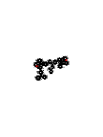 CC1(C)c2ccccc2-c2ccc(N(c3ccc(-c4ccc5c(c4)C4(c6ccccc6-5)c5ccccc5-c5c4oc4ccccc54)cc3)c3cccc(-c4ccc5c6c(oc5c4)C4(c5ccccc5-c5ccccc54)c4ccc(-c5ccc(N(c7ccccc7)c7ccccc7)cc5)cc4-6)c3)cc21